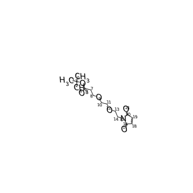 CC(C)(C)OC(=O)CCOCCOCCN1C(=O)C=CC1=O